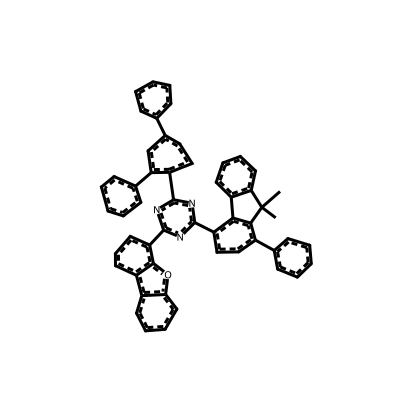 CC1(C)c2ccccc2-c2c(-c3nc(-c4ccc(-c5ccccc5)cc4-c4ccccc4)nc(-c4cccc5c4oc4ccccc45)n3)ccc(-c3ccccc3)c21